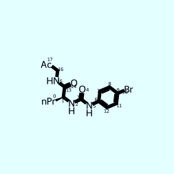 CCC[C@H](NC(=O)Nc1ccc(Br)cc1)C(=O)NCC(C)=O